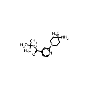 CC1(N)CCN(c2cc(C(=O)OC(C)(C)C)ccn2)CC1